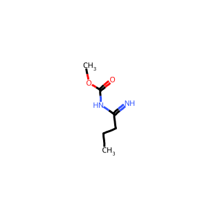 CCCC(=N)NC(=O)OC